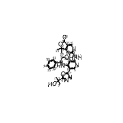 CC(C)(O)c1nnc(-c2cnc(Nc3ncc4c(n3)C(C)(C)OC4=O)cc2N[C@H](CO)c2ccccc2)o1